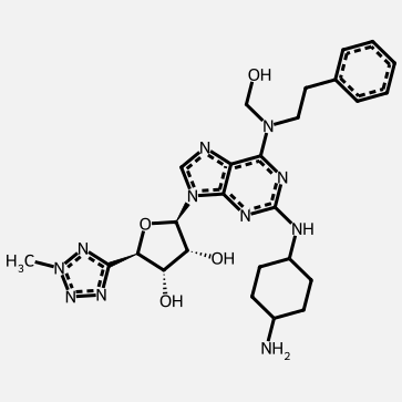 Cn1nnc([C@H]2O[C@@H](n3cnc4c(N(CO)CCc5ccccc5)nc(NC5CCC(N)CC5)nc43)[C@H](O)[C@@H]2O)n1